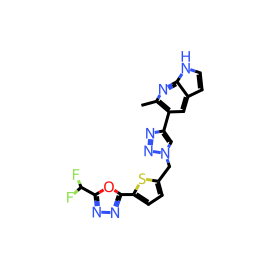 Cc1nc2[nH]ccc2cc1-c1cn(Cc2ccc(-c3nnc(C(F)F)o3)s2)nn1